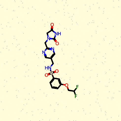 O=C1CN(Cc2ncc(CNS(=O)(=O)c3cccc(OCC(F)F)c3)cn2)C(=O)N1